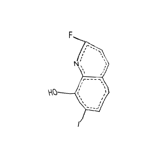 Oc1c(I)ccc2ccc(F)nc12